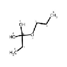 CCCOC(O)(O)CC